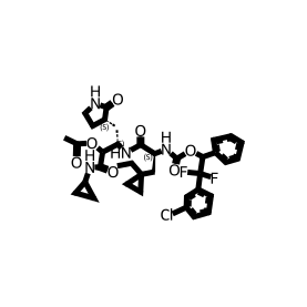 CCC1(C[C@H](NC(=O)OC(c2ccccc2)C(F)(F)c2cccc(Cl)c2)C(=O)N[C@@H](C[C@@H]2CCNC2=O)C(OC(C)=O)C(=O)NC2CC2)CC1